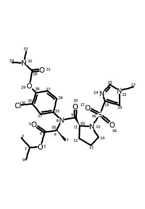 CC(C)OC(=O)[C@H](C)N(C(=O)[C@@H]1CCCN1S(=O)(=O)c1cn(C)cn1)c1ccc(OC(=O)N(C)C)c(Cl)c1